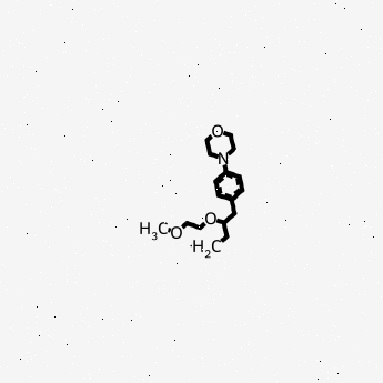 [CH2]CC(Cc1ccc(N2CCOCC2)cc1)OCCOC